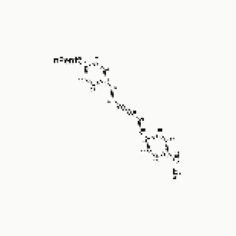 CCCCCc1ccc(C=CC#CC=Cc2ccc(OCC)cc2)cc1